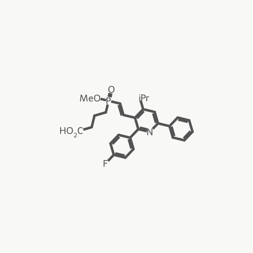 COP(=O)(C=Cc1c(C(C)C)cc(-c2ccccc2)nc1-c1ccc(F)cc1)CCCC(=O)O